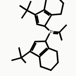 C[C](C)=[Zr]([CH]1C=C(C(C)(C)C)C2=C1CCCC2)[CH]1C=C(C(C)(C)C)C2=C1CCCC2